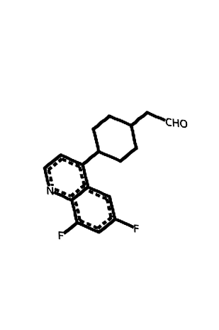 O=CCC1CCC(c2ccnc3c(F)cc(F)cc23)CC1